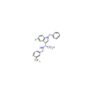 O=C(O)C(NCc1cccc(C(F)(F)F)c1)c1cn(Cc2ccccc2)c2ccc(F)cc12